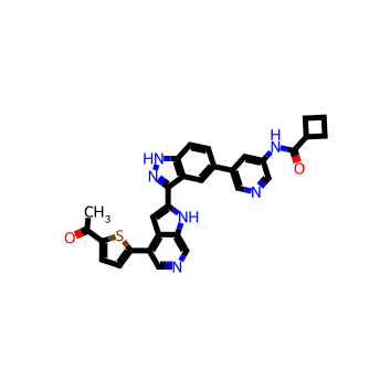 CC(=O)c1ccc(-c2cncc3[nH]c(-c4n[nH]c5ccc(-c6cncc(NC(=O)C7CCC7)c6)cc45)cc23)s1